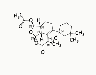 CC(=O)O[C@@H]1O[C@H]2OC(=O)[C@H](C)C3=C([C@@]4(C)CCCC(C)(C)C4)CC[C@@H]1[C@H]32